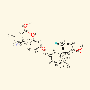 CC/C=C\[C@H](CC(=O)OC)c1ccc(OCc2ccc(C(C)(C)C)c(-c3cc(OC)ccc3F)c2)cc1